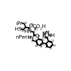 CCCCCN(Cc1ccc(-c2ccccc2-c2nnn[nH]2)cc1)C(=O)[C@@H](CC(=O)O)NC(=O)C(CS)CC(C)C